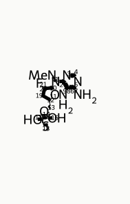 CNN(c1ncnc(N)c1N)[C@@H]1O[C@H](COP(O)(O)=S)C[C@@H]1F